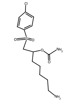 NCCCCCC(CS(=O)(=O)c1ccc(Cl)cc1)OC(N)=O